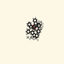 CC1(C)c2ccccc2-c2ccc(N(c3cccc4c3-c3ccccc3C4(C)C)c3cccc4oc5cccc(-c6ccc7c(c6)c6ccccc6n7-c6ccccc6)c5c34)cc21